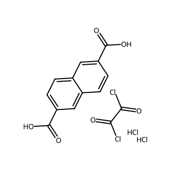 Cl.Cl.O=C(Cl)C(=O)Cl.O=C(O)c1ccc2cc(C(=O)O)ccc2c1